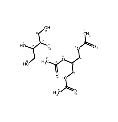 CC(=O)OCC(COC(C)=O)OC(C)=O.OCC(O)C(O)CO